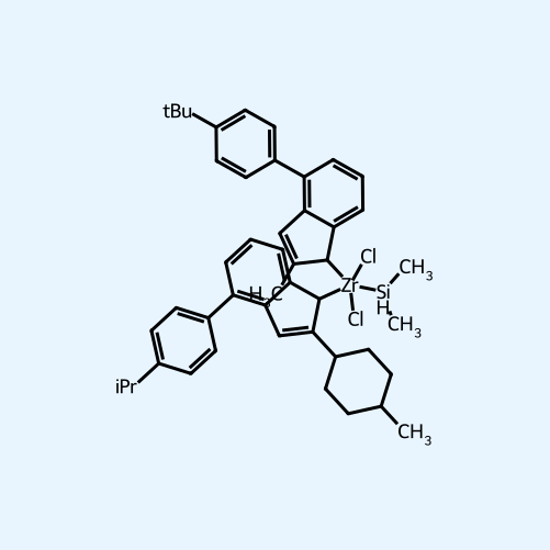 CC1=Cc2c(-c3ccc(C(C)(C)C)cc3)cccc2[CH]1[Zr]([Cl])([Cl])([CH]1C(C2CCC(C)CC2)=Cc2c(-c3ccc(C(C)C)cc3)cccc21)[SiH](C)C